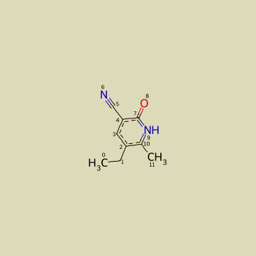 CCc1cc(C#N)c(=O)[nH]c1C